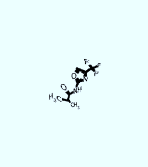 CC(C)C(=O)Nc1nc(C(F)(F)F)co1